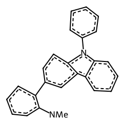 CNc1ccccc1-c1ccc2c(c1)c1ccccc1n2-c1ccccc1